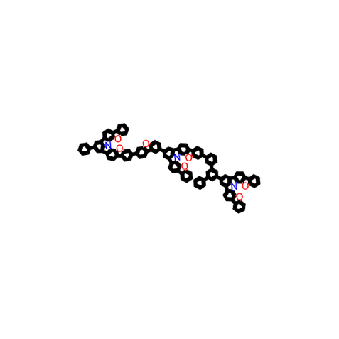 c1ccc(-c2cc(-c3cccc(-c4ccc5c(c4)oc4c5ccc5c6cc(-c7ccc8oc9cc(-c%10ccc%11c(c%10)oc%10c%11ccc%11c%12cc(-c%13ccccc%13)cc%13c%14ccc%15c%16ccccc%16oc%15c%14n(c%13%12)c%11%10)ccc9c8c7)cc7c8ccc9c%10ccccc%10oc9c8n(c76)c54)c3)cc(-c3cc4c5ccc6c7ccccc7oc6c5n5c4c(c3)c3ccc4c6ccccc6oc4c35)c2)cc1